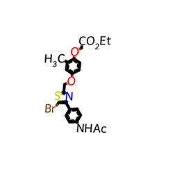 CCOC(=O)COc1ccc(OCc2nc(-c3ccc(NC(C)=O)cc3)c(Br)s2)cc1C